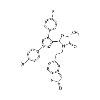 C[C@H]1O[C@H](c2cn(-c3ccc(Br)cc3)cc2-c2ccc(F)cc2)N(CCc2ccc3c(c2)=CC(=O)N=3)C1=O